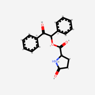 O=C1CCC(C(=O)OC(C(=O)c2ccccc2)c2ccccc2)N1